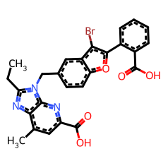 CCc1nc2c(C)cc(C(=O)O)nc2n1Cc1ccc2oc(-c3ccccc3C(=O)O)c(Br)c2c1